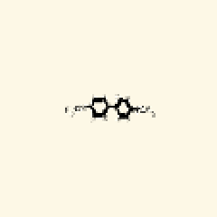 FC(F)(F)Nc1ccc(-c2ccc(NC(F)(F)F)cc2)cc1